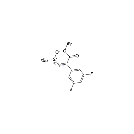 CC(C)OC(=O)/C(=N\[S@@+]([O-])C(C)(C)C)c1cc(F)cc(F)c1